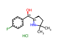 CC1(C)CC[C@H]([C@H](O)c2ccc(F)cc2)N1.Cl